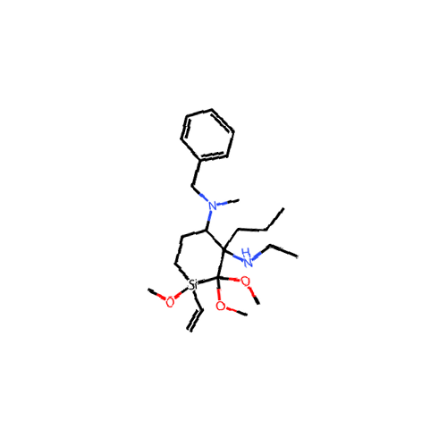 C=C[Si]1(OC)CCC(N(C)Cc2ccccc2)C(CCC)(NCC)C1(OC)OC